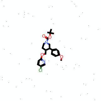 COc1ccc(C2CN(C(=O)OC(C)(C)C)CCC2COc2ccc(Cl)cn2)cc1